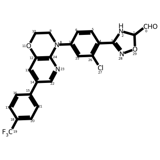 O=CC1NC(c2ccc(N3CCOc4cc(-c5ccc(C(F)(F)F)cc5)cnc43)cc2Cl)=NO1